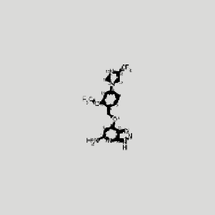 Nc1cc(OCc2ccc(-n3cnc(C(F)(F)F)c3)cc2OC(F)(F)F)c2nn[nH]c2n1